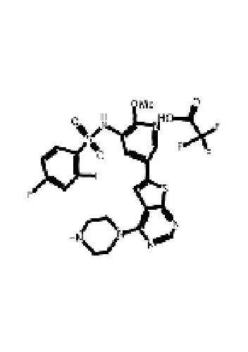 COc1ncc(-c2cc3c(N4CCNCC4)ncnc3s2)cc1NS(=O)(=O)c1ccc(F)cc1F.O=C(O)C(F)(F)F